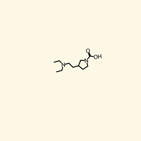 CCN(CC)CCC1CCN(C(=O)O)C1